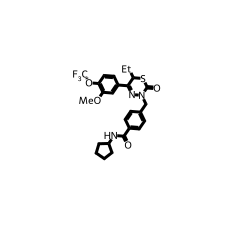 CCC1SC(=O)N(Cc2ccc(C(=O)NC3CCCC3)cc2)N=C1c1ccc(OC(F)(F)F)c(OC)c1